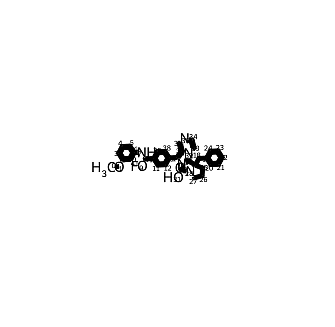 COc1cccc(NC(=O)c2ccc(-c3nc(C4(Cc5ccccc5)CCCN4C(=O)O)n4ccncc34)cc2)c1F